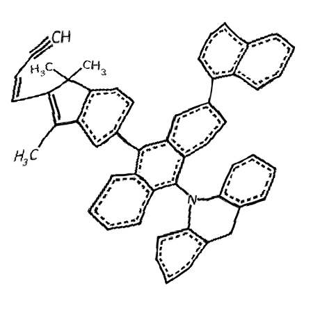 C#C/C=C\C1=C(C)c2cc(-c3c4ccccc4c(N4c5ccccc5Cc5ccccc54)c4ccc(-c5cccc6ccccc56)cc34)ccc2C1(C)C